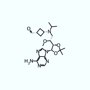 CO[C@H](CN(C(C)C)[C@H]1C[C@@H](C=O)C1)[C@H]1OC(C)(C)O[C@H]1n1cnc2c(N)ncnc21